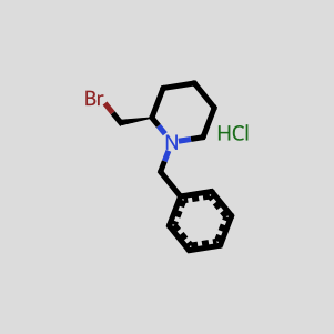 BrC[C@H]1CCCCN1Cc1ccccc1.Cl